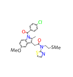 COc1ccc2c(c1)c(CC(=O)N(CCSC)c1nccs1)c(C)n2C(=O)c1ccc(Cl)cc1